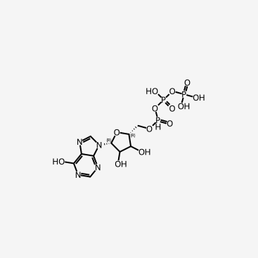 O=[PH](OC[C@H]1O[C@@H](n2cnc3c(O)ncnc32)C(O)C1O)OP(=O)(O)OP(=O)(O)O